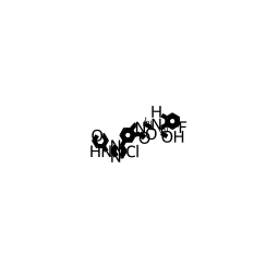 Cc1ccc(F)cc1[C@@H](CO)NC(=O)[C@@H](C)N1Cc2ccc(-c3nc(NC4CCOCC4)ncc3Cl)cc2C1=O